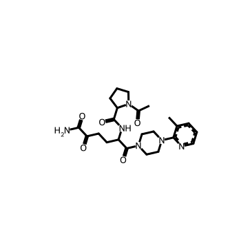 CC(=O)N1CCCC1C(=O)NC(CCC(=O)C(N)=O)C(=O)N1CCN(c2ncccc2C)CC1